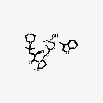 C[C@H]1CC[C@H](COC(=O)N[C@@H](Cc2coc3ccccc23)B(O)O)N1C(=O)C(C#N)=CC(C)(C)N1CCOCC1